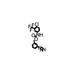 O=C(Nc1ccc(Cl)c(C(F)(F)F)c1)OCc1cccc(-n2c3nn2-3)c1